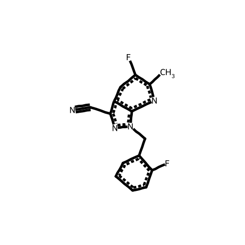 Cc1nc2c(cc1F)c(C#N)nn2Cc1ccccc1F